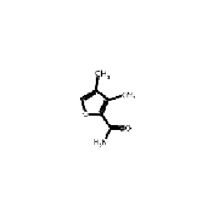 Cc1coc(C(N)=O)c1C